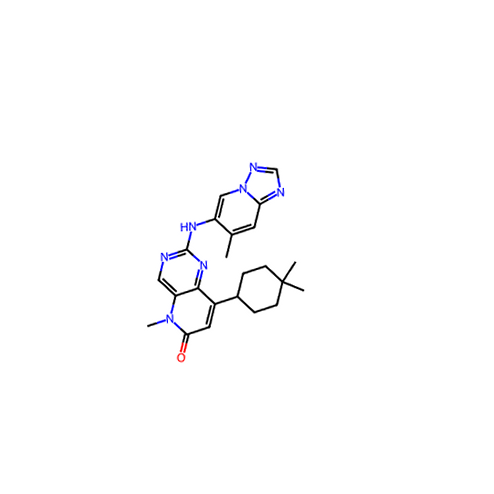 Cc1cc2ncnn2cc1Nc1ncc2c(n1)c(C1CCC(C)(C)CC1)cc(=O)n2C